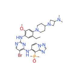 CCc1cc(Nc2ncc(Br)c(Nc3ccn4ncnc4c3P(C)(C)=O)n2)c(OC)cc1N1CCC(N2CC(N(C)C)C2)CC1